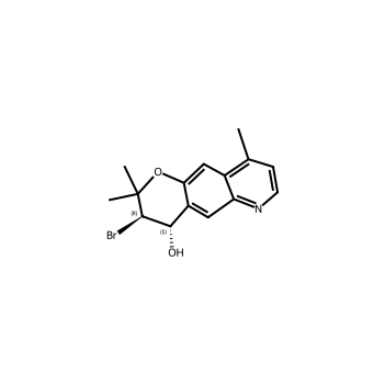 Cc1ccnc2cc3c(cc12)OC(C)(C)[C@H](Br)[C@H]3O